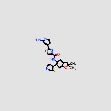 CC1(C)Cc2cc(NC(=O)c3coc(-c4ccnc(N)c4)n3)c(-c3ccncc3F)cc2O1